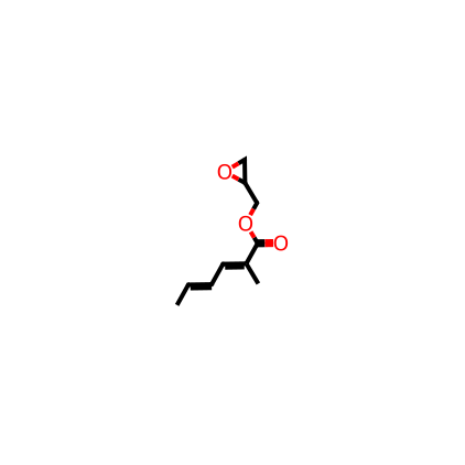 CC=CC=C(C)C(=O)OCC1CO1